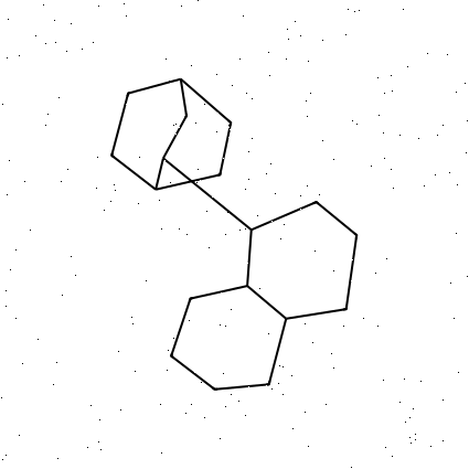 C1CCC2C(C1)CCCC2C1CC2CCC1CC2